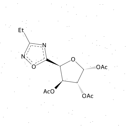 CCc1noc([C@H]2O[C@H](OC(C)=O)[C@H](OC(C)=O)[C@H]2OC(C)=O)n1